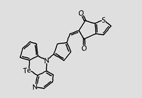 O=C1/C(=C\C2=CC=C(N3c4ccccc4[Te]c4ncccc43)C2)C(=O)c2sccc21